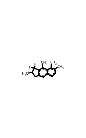 Cc1ccc2cc3c(c(C)c2c1C)C(F)(F)C(C)C3